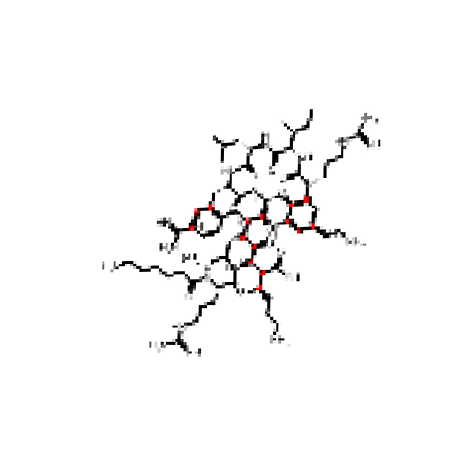 CC[C@H](C)[C@H](NC(=O)[C@H](CCCNC(=N)N)NC(=O)[C@H](CCCCN)NC(=O)[C@H](Cc1ccccc1)NC(=O)[C@H](CC(C)C)NC(=O)[C@H](CCCNC(=N)N)NC(=O)[C@@H](N)CCCCN)C(=O)N[C@@H](CC(C)C)C(=O)N[C@@H](CCCNC(=N)N)C(=O)N[C@@H](Cc1ccc(O)cc1)C(=O)N[C@@H](CC(C)C)C(=O)N[C@@H](CCCCN)C(=O)O